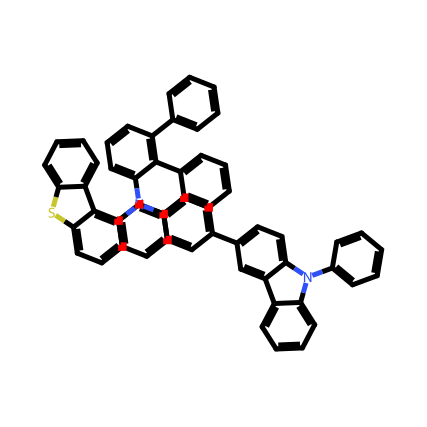 c1ccc(-c2ccccc2-c2c(-c3ccccc3)cccc2N(c2ccc(-c3ccc4c(c3)c3ccccc3n4-c3ccccc3)cc2)c2cccc3sc4ccccc4c23)cc1